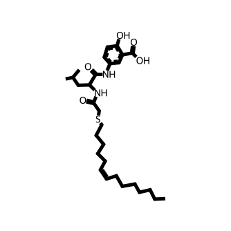 CCCCCCC/C=C\CCCCCSCC(=O)NC(CC(C)C)C(=O)Nc1ccc(O)c(C(=O)O)c1